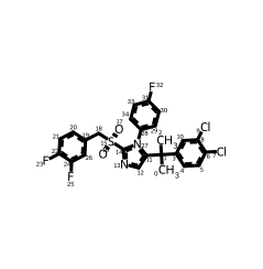 CC(C)(c1ccc(Cl)c(Cl)c1)c1cnc(S(=O)(=O)Cc2ccc(F)c(F)c2)n1-c1ccc(F)cc1